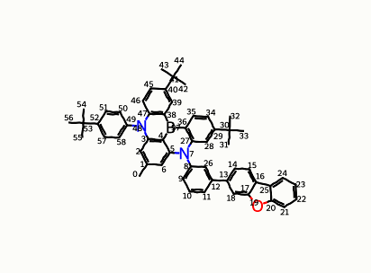 Cc1cc2c3c(c1)N(c1cccc(-c4ccc5c(c4)oc4ccccc45)c1)c1cc(C(C)(C)C)ccc1B3c1cc(C(C)(C)C)ccc1N2c1ccc(C(C)(C)C)cc1